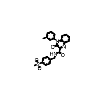 Cc1cccc(-n2c(=O)c(C(=O)NCc3ccc(S(C)(=O)=O)cc3)nc3ccccc32)c1